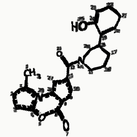 Cc1ccc2oc(=O)c3ccc(C(=O)N4CCCC(C5=CCCC=C5O)C4)cc3n12